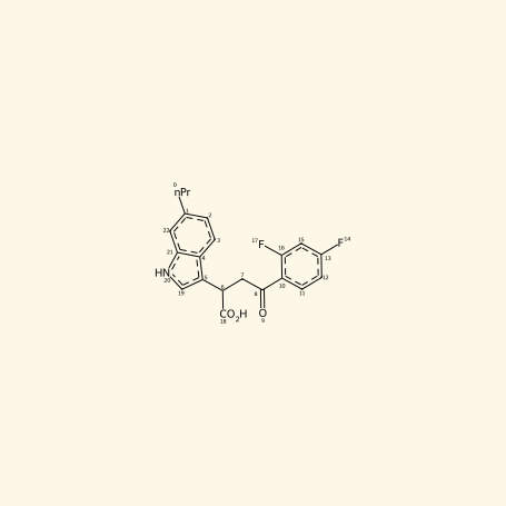 CCCc1ccc2c(C(CC(=O)c3ccc(F)cc3F)C(=O)O)c[nH]c2c1